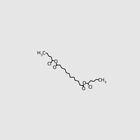 CCCCC(Cl)OC(=O)CCCCCCCCCCC(=O)OC(Cl)CCCC